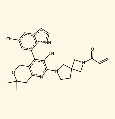 C=CC(=O)N1CC2(CCN(c3nc4c(c(-c5cc(Cl)cc6cc[nH]c56)c3C#N)COC(C)(C)C4)C2)C1